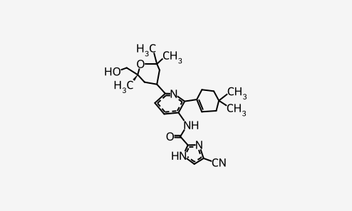 CC1(C)CC=C(c2nc(C3CC(C)(C)O[C@@](C)(CO)C3)ccc2NC(=O)c2nc(C#N)c[nH]2)CC1